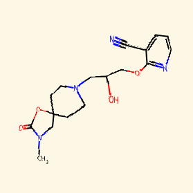 CN1CC2(CCN(CC(O)COc3ncccc3C#N)CC2)OC1=O